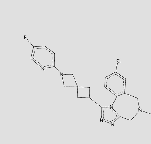 CC(C)N1Cc2cc(Cl)ccc2-n2c(nnc2C2CC3(C2)CN(c2ccc(F)cn2)C3)C1